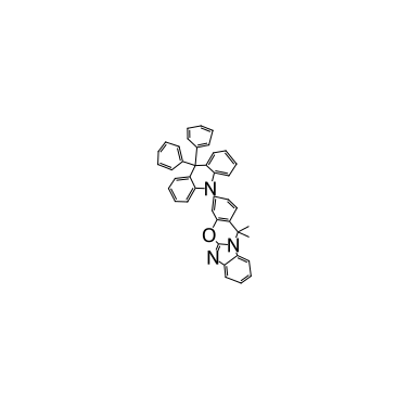 CC1(C)c2ccc(N3c4ccccc4C(c4ccccc4)(c4ccccc4)c4ccccc43)cc2Oc2nc3ccccc3n21